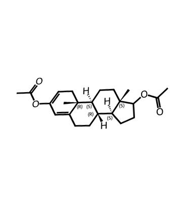 CC(=O)OC1=CC[C@@]2(C)C(=C1)CC[C@@H]1[C@@H]2CC[C@]2(C)C(OC(C)=O)CC[C@@H]12